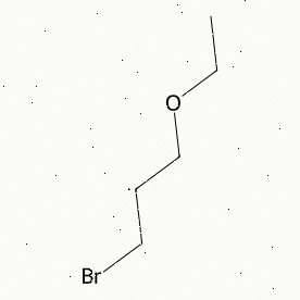 CCOC[CH]CBr